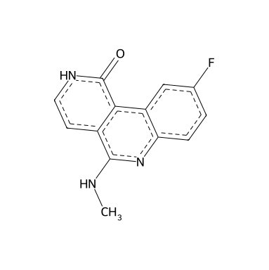 CNc1nc2ccc(F)cc2c2c(=O)[nH]ccc12